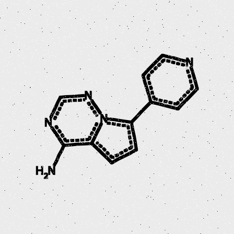 Nc1ncnn2c(-c3ccncc3)ccc12